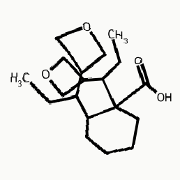 CCC(C1COC1)C1CCCCC1(C(=O)O)C(CC)C1COC1